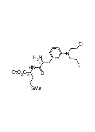 CCOC(=O)[C@H](CCSC)NC(=O)[C@@H](N)Cc1cccc(N(CCCl)CCCl)c1